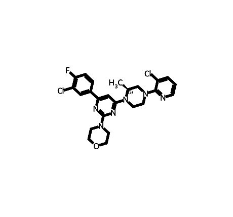 C[C@H]1CN(c2ncccc2Cl)CCN1c1cc(-c2ccc(F)c(Cl)c2)nc(N2CCOCC2)n1